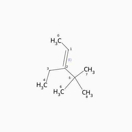 C/C=C(\CC)C(C)(C)C